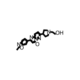 Cc1nc2ccc(-c3cc(=O)n4nc(C5CCN(CCO)CC5)ccc4n3)cc2o1